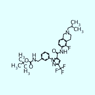 C[C](C)CN1CCc2c(ccc(NC(=O)c3cc(C(F)(F)F)nn3-c3cccc(CNC(=O)OC(C)(C)C)c3)c2F)C1